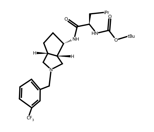 CC(C)C[C@@H](NC(=O)OC(C)(C)C)C(=O)N[C@H]1CC[C@H]2CN(Cc3cccc(C(F)(F)F)c3)C[C@H]21